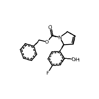 O=C(OCc1ccccc1)N1CC=CC1c1ccc(F)cc1O